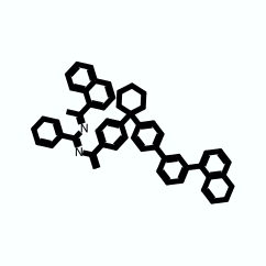 C=C(/N=C(\N=C(/C)c1cccc2ccccc12)C1=CCCC=C1)c1ccc(C2(c3ccc(-c4cccc(-c5cccc6c5C=CCC6)c4)cc3)CCCCC2)cc1